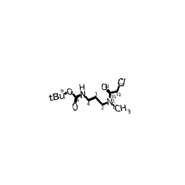 CN(CCCNC(=O)OC(C)(C)C)C(=O)CCl